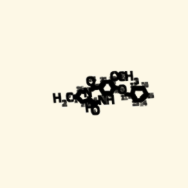 C=C1C[C@H]2C(=O)Nc3cc(OCc4ccccc4)c(OC)cc3C(=O)N2C1